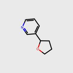 [c]1ccc(C2CCCO2)cn1